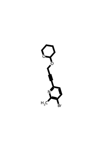 Cc1nc(C#CCOC2CCCCO2)ccc1Br